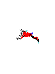 CCCCCCCCCCCCCC[C@@H](O)[C@@H](O)[C@H](CO[C@@H](OC(COCCCC)[C@H](C)F)[C@H](COCCCC)OCCCC)NC(=O)CCCCCCCCCCc1ccc(Oc2ccc(F)cc2)cc1